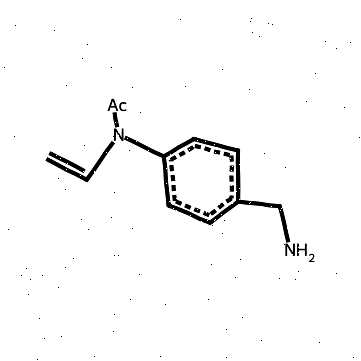 C=CN(C(C)=O)c1ccc(CN)cc1